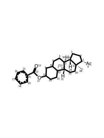 CC(=O)[C@H]1CC[C@H]2[C@@H]3CCC4CC(OC(=O)c5ccccc5)CC[C@]4(C)[C@H]3CC[C@]12C